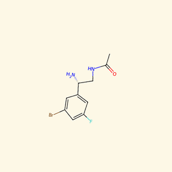 CC(=O)NC[C@@H](N)c1cc(F)cc(Br)c1